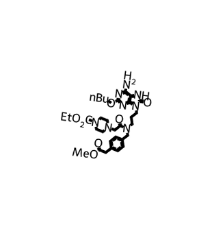 CCCCOc1nc(N)c2[nH]c(=O)n(CCCN(Cc3ccc(CC(=O)OC)cc3)C(=O)CN3CCN(C(=O)OCC)CC3)c2n1